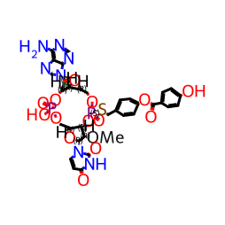 CO[C@@H]1[C@@H]2O[P@@](=O)(SCc3ccc(OC(=O)c4ccc(O)cc4)cc3)OC[C@H]3O[C@@H](n4cnc5c(N)ncnc54)[C@H](OP(=O)(O)OC[C@H]2O[C@H]1n1ccc(=O)[nH]c1=O)[C@@H]3F